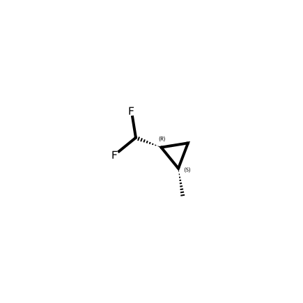 C[C@H]1C[C@H]1C(F)F